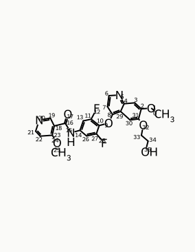 COc1cc2nccc(Oc3c(F)cc(NC(=O)c4cnccc4OC)cc3F)c2cc1OCCO